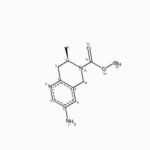 C[C@@H]1Cc2ncc(N)cc2CN1C(=O)OC(C)(C)C